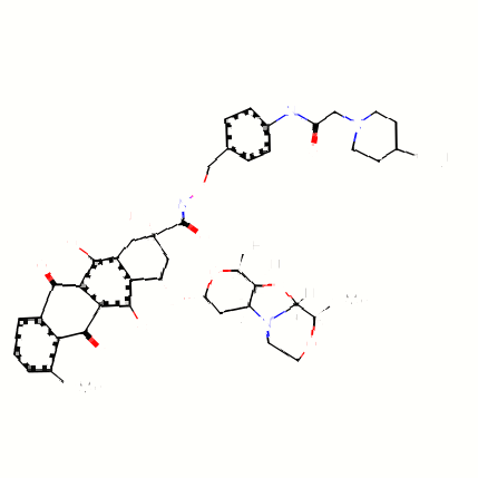 COc1cccc2c1C(=O)c1c(O)c3c(c(O)c1C2=O)C[C@@](O)(C(=O)NOCc1ccc(NC(=O)CN2CCC(C(=O)O)CC2)cc1)C[C@@H]3O[C@H]1C[C@H]2[C@H](O[C@@H]3[C@@H](OC)OCCN32)[C@H](C)O1